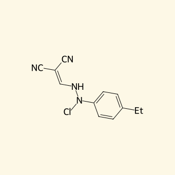 CCc1ccc(N(Cl)NC=C(C#N)C#N)cc1